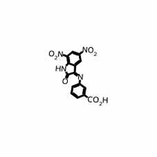 O=C1Nc2c(cc([N+](=O)[O-])cc2[N+](=O)[O-])/C1=N/c1cccc(C(=O)O)c1